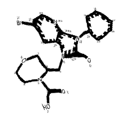 O=C(O)N1CCOCC1Cn1c(=O)n(-c2ccccc2)c2ncc(Br)cc21